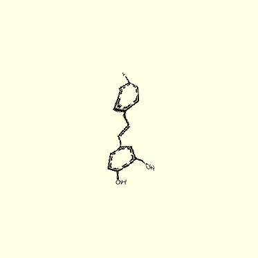 Oc1ccc(C=Cc2ccc(F)cc2)cc1O